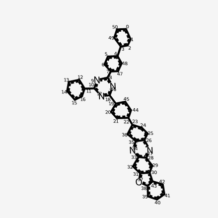 c1ccc(-c2ccc(-c3nc(-c4ccccc4)nc(-c4ccc(-c5ccc6nc7cc8c(cc7nc6c5)oc5ccccc58)cc4)n3)cc2)cc1